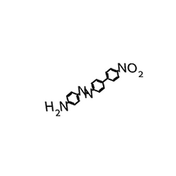 Nc1ccc(N=Nc2ccc(-c3ccc([N+](=O)[O-])cc3)cc2)cc1